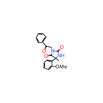 COc1ccccc1C1(C)NC(=O)N(CC(=O)c2ccccc2)C1=O